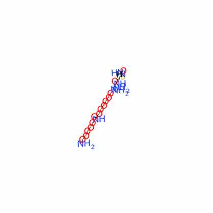 NCCOCCOCCOCCOCCOCCNC(=O)CCOCCOCCOCCOCCOCCOCCN(N)/C=C(\N)CNC(=O)CCCC[C@@H]1SCN2C(=O)N[C@@H]12